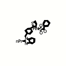 CCCc1nc2ccccc2n1Cc1ccc(-c2sccc2NS(=O)(=O)C(=O)c2ccccc2)cc1